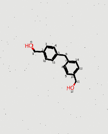 OCc1ccc(Cc2ccc(CO)cc2)cc1